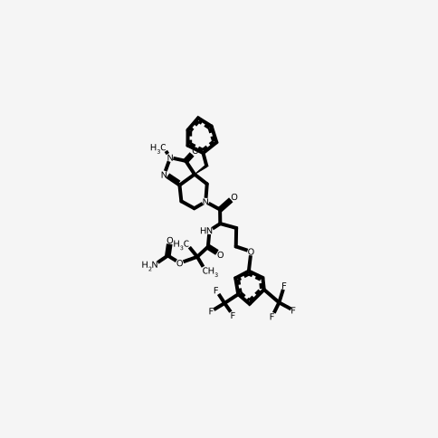 CN1N=C2CCN(C(=O)C(CCOc3cc(C(F)(F)F)cc(C(F)(F)F)c3)NC(=O)C(C)(C)OC(N)=O)C[C@@]2(Cc2ccccc2)C1=O